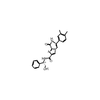 Cc1ccc(-c2cn3cc(C(=O)N[C@H](CO)c4ccccc4)nc3c(=O)[nH]2)cc1C